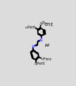 CCCCCc1ccc(N=CC=Nc2ccc(CCCCC)c(CCCCC)c2)cc1CCCCC.[Ni]